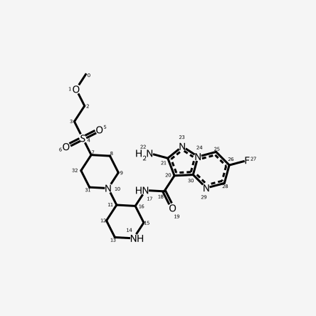 COCCS(=O)(=O)C1CCN(C2CCNCC2NC(=O)c2c(N)nn3cc(F)cnc23)CC1